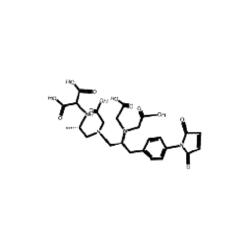 C[C@@H](CN(CC(=O)O)C[C@H](Cc1ccc(N2C(=O)C=CC2=O)cc1)N(CC(=O)O)CC(=O)O)NC(C(=O)O)C(=O)O